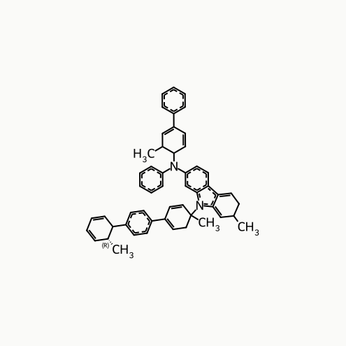 CC1C=c2c(c3ccc(N(c4ccccc4)C4C=CC(c5ccccc5)=CC4C)cc3n2C2(C)C=CC(c3ccc(C4C=CC=C[C@H]4C)cc3)=CC2)=CC1